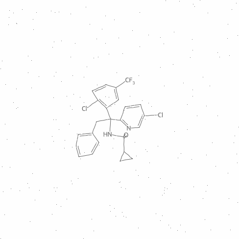 O=C(NC(Cc1ccccc1)(c1ccc(Cl)cn1)c1cc(C(F)(F)F)ccc1Cl)C1CC1